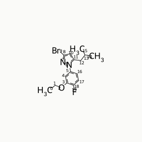 CCOc1cc(-n2nc(Br)cc2CC(C)C)ccc1F